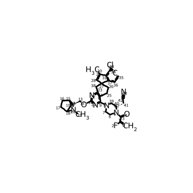 C=C(F)C(=O)N1CCN(c2nc(OC[C@@H]3C4CCC(C4)N3C)nc3c2CCC2(C=C(C)c4c(Cl)cccc42)C3)C[C@@H]1CC#N